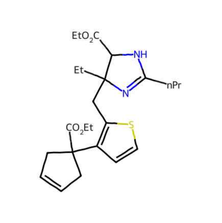 CCCC1=NC(CC)(Cc2sccc2C2(C(=O)OCC)CC=CC2)C(C(=O)OCC)N1